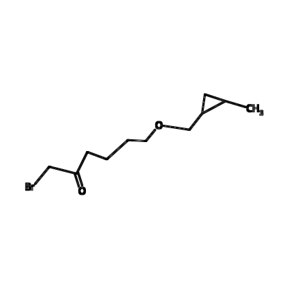 CC1CC1COCCCCC(=O)CBr